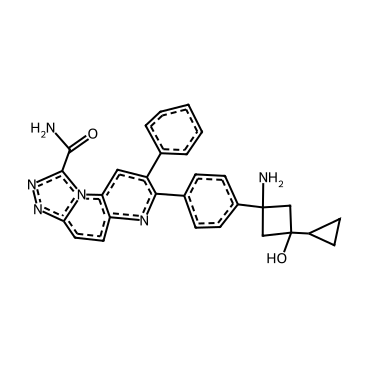 NC(=O)c1nnc2ccc3nc(-c4ccc(C5(N)CC(O)(C6CC6)C5)cc4)c(-c4ccccc4)cc3n12